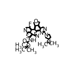 CN(C)[C@H]1CCN(c2ncc3c4c(c(-c5c(F)cnc6sc(NC(=O)OC(C)(C)C)c(C#N)c56)c(F)c3n2)COC4)C1